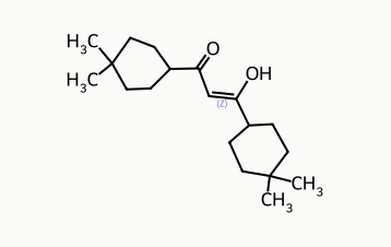 CC1(C)CCC(C(=O)/C=C(\O)C2CCC(C)(C)CC2)CC1